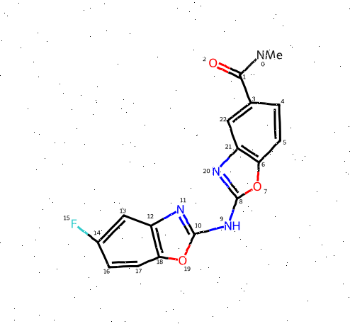 CNC(=O)c1ccc2oc(Nc3nc4cc(F)ccc4o3)nc2c1